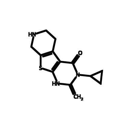 C=C1Nc2sc3c(c2C(=O)N1C1CC1)CCNC3